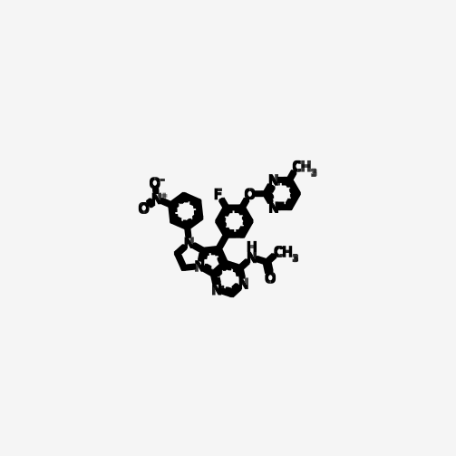 CC(=O)Nc1ncnc2c1c(-c1ccc(Oc3nccc(C)n3)c(F)c1)c1n2CCN1c1cccc([N+](=O)[O-])c1